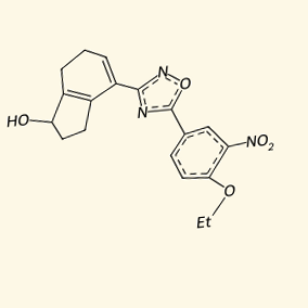 CCOc1ccc(-c2nc(C3=CCCC4=C3CCC4O)no2)cc1[N+](=O)[O-]